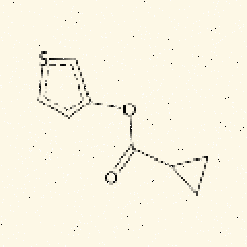 O=C(Oc1ccsc1)C1CC1